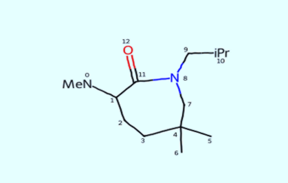 CNC1CCC(C)(C)CN(CC(C)C)C1=O